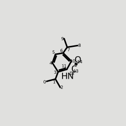 CC(C)c1ccc(C(C)C)cc1.N=C=O